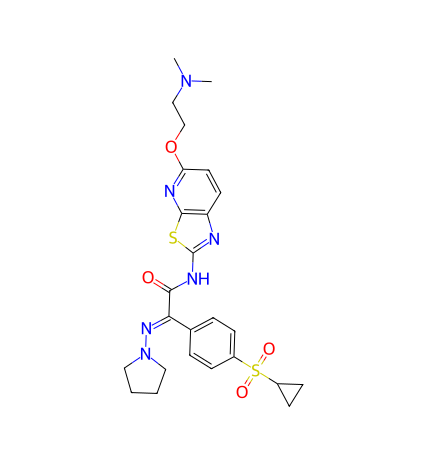 CN(C)CCOc1ccc2nc(NC(=O)/C(=N/N3CCCC3)c3ccc(S(=O)(=O)C4CC4)cc3)sc2n1